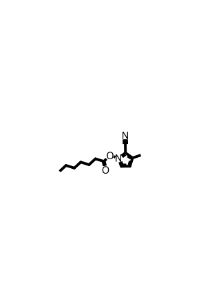 CCCCCCC(=O)On1ccc(C)c1C#N